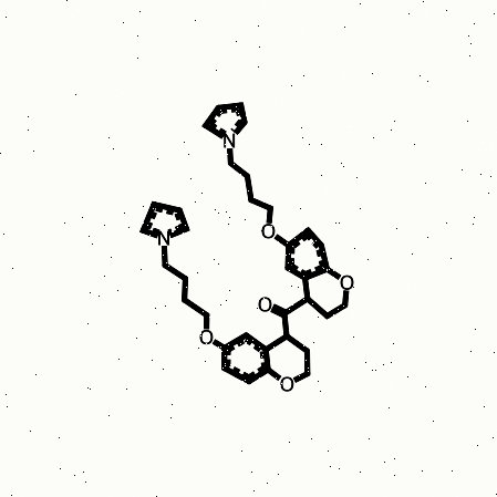 O=C(C1CCOc2ccc(OCCCCn3cccc3)cc21)C1CCOc2ccc(OCCCCn3cccc3)cc21